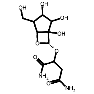 NC(=O)CC(O[C@@H]1OC2C(CO)[C@@H](O)C(O)C21O)C(N)=O